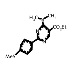 CCOC(=O)c1cnc(-c2ccc(SC)cc2)nc1N(C)C